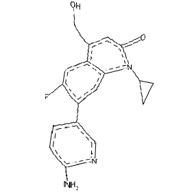 Nc1ccc(-c2cc3c(cc2F)c(CO)cc(=O)n3C2CC2)cn1